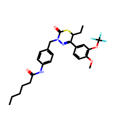 CCCCCC(=O)Nc1ccc(CN2N=C(c3ccc(OC)c(OC(F)(F)F)c3)C(CC)SC2=O)cc1